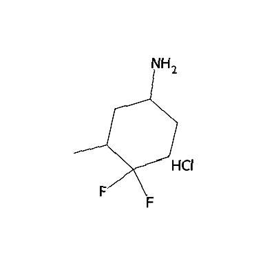 CC1CC(N)CCC1(F)F.Cl